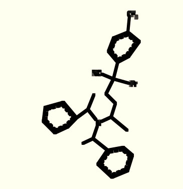 CC(CCC(C#N)(c1ccc(C(F)(F)F)cc1)C(C)C)N(C(C)c1ccccc1)C(C)c1ccccc1